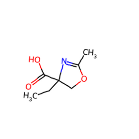 CCC1(C(=O)O)COC(C)=N1